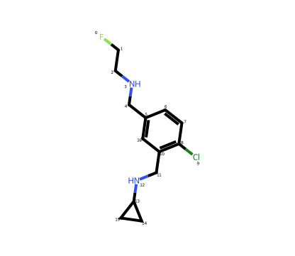 FCCNCc1ccc(Cl)c(CNC2CC2)c1